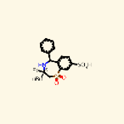 CCCC[C@]1(CC)CS(=O)(=O)c2cc(S(=O)(=O)O)ccc2C(c2ccccc2)N1